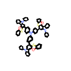 c1ccc(-n2c3ccccc3c3c4c(c(-c5ccc(N(c6ccc(-c7cc8c(c9c7Sc7ccccc7O9)c7ccccc7n8-c7ccccc7)cc6)c6ccc(-c7cc8c(c9c7Sc7ccccc7O9)c7ccccc7n8-c7ccccc7)cc6)cc5)cc32)Sc2ccccc2O4)cc1